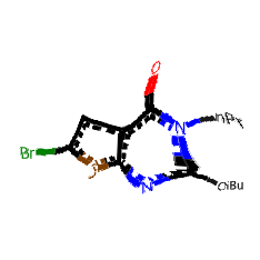 CCCn1c(OCC(C)C)nc2sc(Br)cc2c1=O